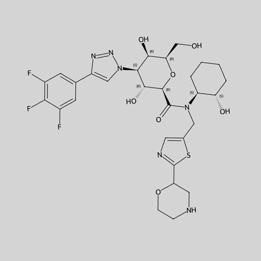 O=C([C@@H]1O[C@H](CO)[C@H](O)[C@H](n2cc(-c3cc(F)c(F)c(F)c3)nn2)[C@H]1O)N(Cc1cnc(C2CNCCO2)s1)[C@H]1CCCC[C@@H]1O